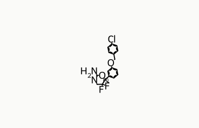 C[C@]1(c2cccc(OCc3ccc(Cl)cc3)c2)OC(N)=NCC1(F)F